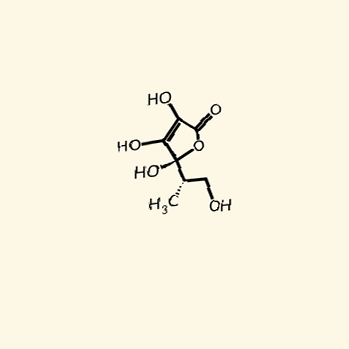 C[C@@H](CO)[C@@]1(O)OC(=O)C(O)=C1O